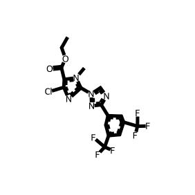 CCOC(=O)c1c(Cl)nc(-n2cnc(-c3cc(C(F)(F)F)cc(C(F)(F)F)c3)n2)n1C